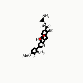 CCc1cc(C(=N)/C2=C\C/C=C\C=C3\CC(c4ccc(OC)c(F)c4C)=CN=C32)ccc1C(=O)NC[C@@H]1C[C@@H]1N